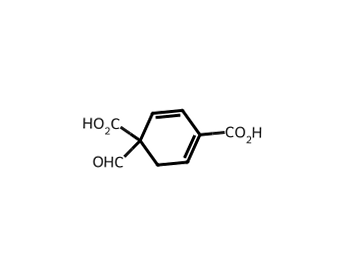 O=CC1(C(=O)O)C=CC(C(=O)O)=CC1